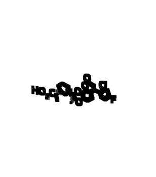 CC(C(=O)O)[C@@H]1CCCN(C(=O)[C@@H](C)Oc2ccc3c(-c4ccc(F)cc4Cl)cc(=O)oc3c2)C1